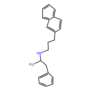 CC(Cc1ccccc1)NCCCc1ccc2ccccc2c1